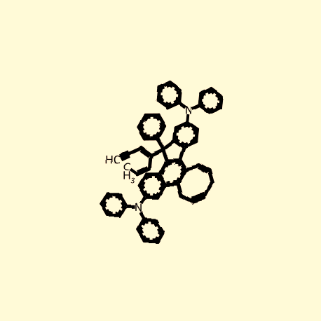 C#C/C=C(\C=C/C)C1(c2ccccc2)c2cc(N(c3ccccc3)c3ccccc3)ccc2-c2c3c(c4cc(N(c5ccccc5)c5ccccc5)ccc4c21)CC#CC/C=C\3